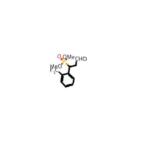 COP(=O)(OC)C(CC=O)c1ccccc1C(F)(F)F